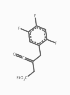 CCOC(=O)CC(=C=O)Cc1cc(F)c(F)cc1F